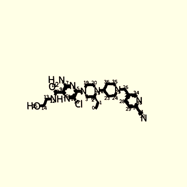 CC[C@H]1CN(c2nc(N)c(C(=O)NCCO)nc2Cl)CCN1C1CCN(Cc2ccc(C#N)nc2)CC1